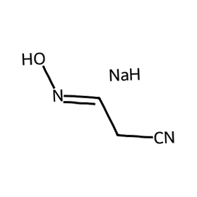 N#CCC=NO.[NaH]